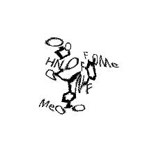 COC(=O)c1ccc2c(C(=O)C(=O)NC3=CC(=O)OC3)cn(C(F)c3ccc(OC)c(F)c3F)c2c1